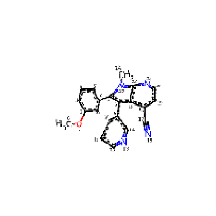 COc1cccc(-c2c(-c3cccnc3)c3c(C#N)ccnc3n2C)c1